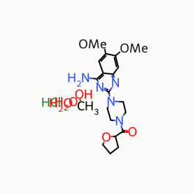 CO.COc1cc2nc(N3CCN(C(=O)C4CCCO4)CC3)nc(N)c2cc1OC.Cl.O.O